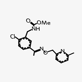 COC(=O)NCc1cc(C(C)=NOCc2cccc(C)n2)ccc1Cl